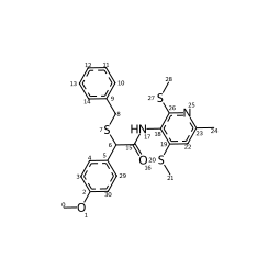 COc1ccc(C(SCc2ccccc2)C(=O)Nc2c(SC)cc(C)nc2SC)cc1